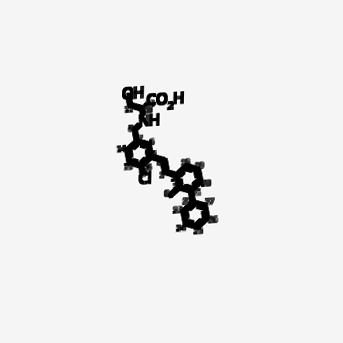 Cc1c(/C=C/c2cc(CN[C@H](CO)C(=O)O)ccc2Cl)cccc1-c1ccccc1